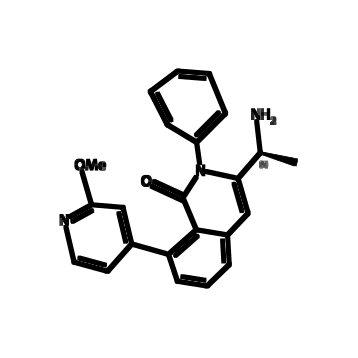 COc1cc(-c2cccc3cc([C@H](C)N)n(-c4ccccc4)c(=O)c23)ccn1